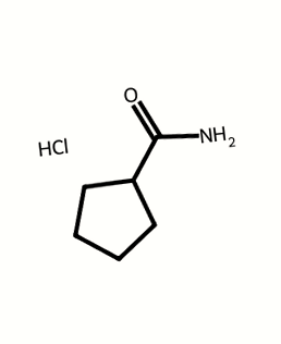 Cl.NC(=O)C1CCCC1